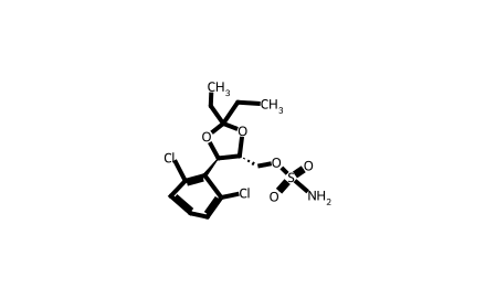 CCC1(CC)O[C@H](c2c(Cl)cccc2Cl)[C@@H](COS(N)(=O)=O)O1